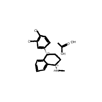 CC(=O)O.CN[C@H]1CC[C@@H](c2ccc(Cl)c(Cl)c2)c2ccccc21.Cl